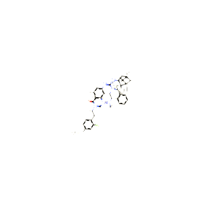 COc1ccc(CCn2cnc3cc(N=C(NC4C[C@@H]5C[C@@H]([C@H]4C)C5(C)C)N(CCN(C)C)Cc4ccccc4)ccc3c2=O)c(F)c1